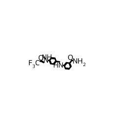 NC(=O)c1cccc(NCc2ccc(N3C=C(C(F)(F)F)ON3)cc2)c1